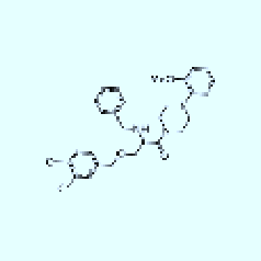 COc1ccccc1N1CCN(C(=O)C(COCc2ccc(Cl)c(Cl)c2)NCc2ccccc2)CC1